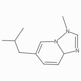 CC(C)CC1=CN2C(C=C1)N=CN2C